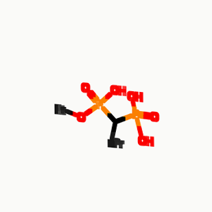 CCCC(P(=O)(O)O)P(=O)(O)OCC